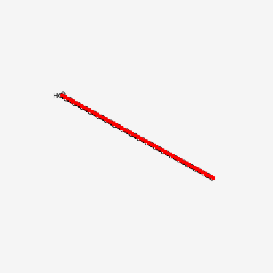 COCCOCCOCCOCCOCCOCCOCCOCCOCCOCCOCCOCCOCCOCCOCCOCCOCCOCCOCCOCCOCCOCCOCCOCCOCCOCCOCCOCCOCCOCCOCCOCCOCCOCCOCCOCCOCCC(=O)O